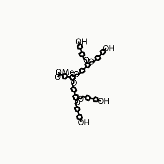 COC(=O)c1ccc(-c2cc(OCc3ccc(-c4ccc(OCc5ccc(-c6ccc(O)cc6)cc5)c(OCc5ccc(-c6ccc(O)cc6)cc5)c4)cc3)cc(OCc3ccc(-c4ccc(OCc5ccc(-c6ccc(O)cc6)cc5)c(OCc5ccc(-c6ccc(O)cc6)cc5)c4)cc3)c2)cc1